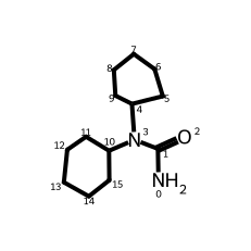 NC(=O)N(C1CCCCC1)C1CCCCC1